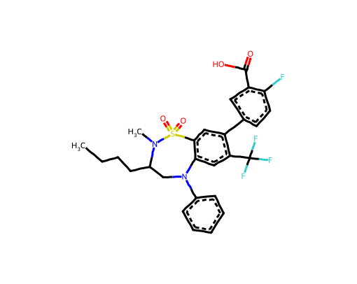 CCCCC1CN(c2ccccc2)c2cc(C(F)(F)F)c(-c3ccc(F)c(C(=O)O)c3)cc2S(=O)(=O)N1C